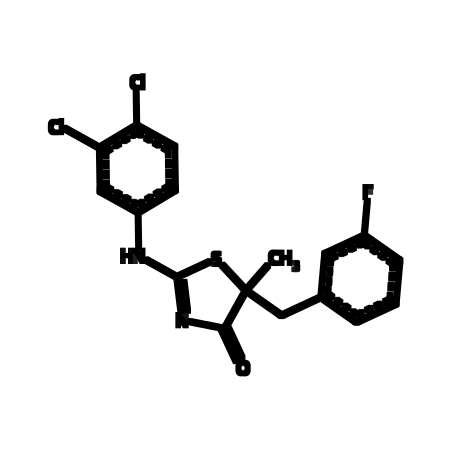 CC1(Cc2cccc(F)c2)SC(Nc2ccc(Cl)c(Cl)c2)=NC1=O